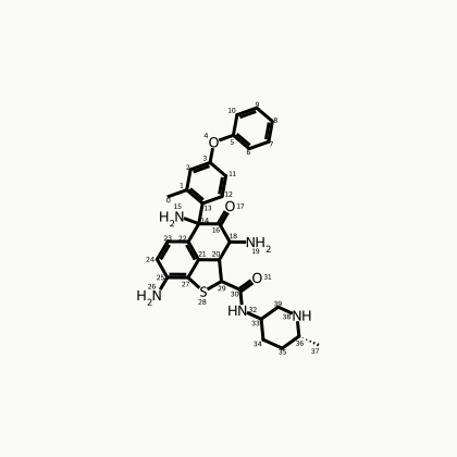 Cc1cc(Oc2ccccc2)ccc1C1(N)C(=O)C(N)C2c3c1ccc(N)c3SC2C(=O)NC1CC[C@@H](C)NC1